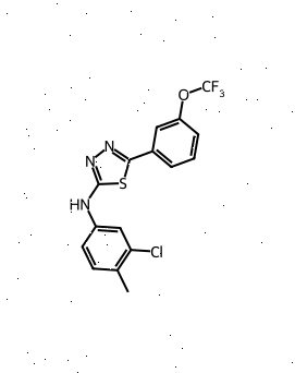 Cc1ccc(Nc2nnc(-c3cccc(OC(F)(F)F)c3)s2)cc1Cl